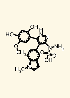 COc1cc(-c2[nH]nc(N(N)S(=O)(=O)O)c2-c2ccc3c(ccn3C)c2)c(O)cc1O